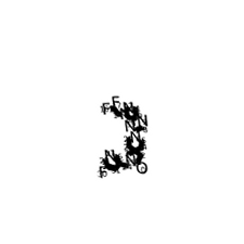 O=C1CC2(CCN(c3cnc4cnn(CC(F)F)c4n3)CC2)CN1Cc1cncc(F)c1